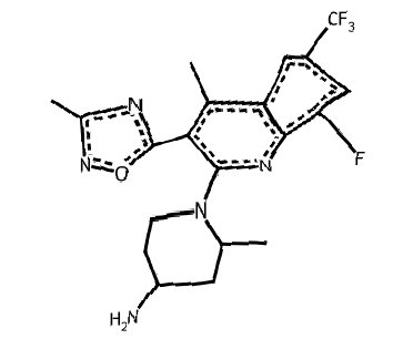 Cc1noc(-c2c(N3CCC(N)CC3C)nc3c(F)cc(C(F)(F)F)cc3c2C)n1